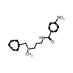 CN(CCCNC(=O)c1ccc([N+](=O)[O-])cc1)Cc1ccccc1